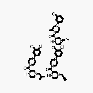 C#CCN1CCN[C@@H](C(=O)N2CCN(c3ccc(Cl)c(Cl)c3)CC2)C1.C=C(C)CN1CCN[C@@H](C(=O)N2CCN(c3ccc(Cl)c(Cl)c3)CC2)C1.CC(C)N1CCN[C@@H](C(=O)N2CCN(c3cccc(Cl)c3)CC2C)C1